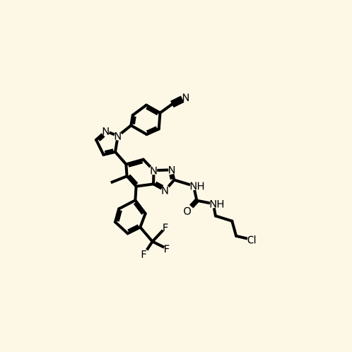 Cc1c(-c2ccnn2-c2ccc(C#N)cc2)cn2nc(NC(=O)NCCCCl)nc2c1-c1cccc(C(F)(F)F)c1